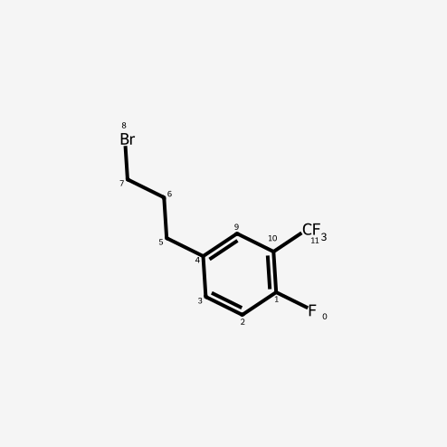 Fc1ccc(CCCBr)cc1C(F)(F)F